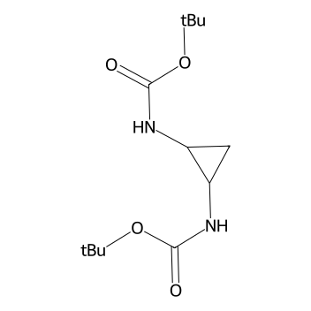 CC(C)(C)OC(=O)NC1CC1NC(=O)OC(C)(C)C